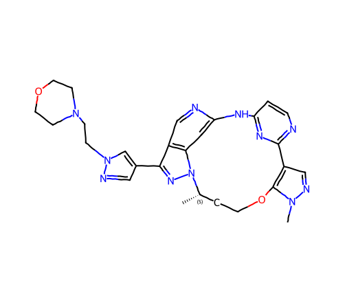 C[C@H]1CCOc2c(cnn2C)-c2nccc(n2)Nc2cc3c(cn2)c(-c2cnn(CCN4CCOCC4)c2)nn31